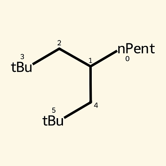 CCCCCC(CC(C)(C)C)CC(C)(C)C